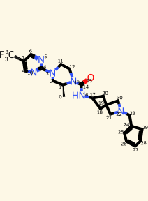 C[C@H]1CN(c2ncc(C(F)(F)F)cn2)CCN1C(=O)NC1CC2(C1)CN(Cc1ccccc1)C2